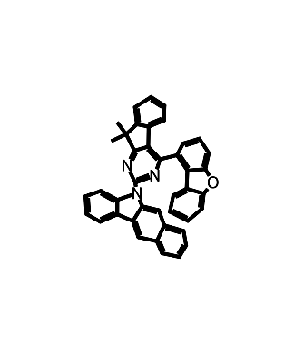 CC1(C)c2ccccc2-c2c(-c3cccc4oc5ccccc5c34)nc(-n3c4ccccc4c4cc5ccccc5cc43)nc21